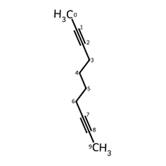 CC#CCCCCC#CC